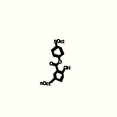 CCCCCCCCc1ccc(OC(=O)c2cc(CCCCCCCC)ccc2O)cc1